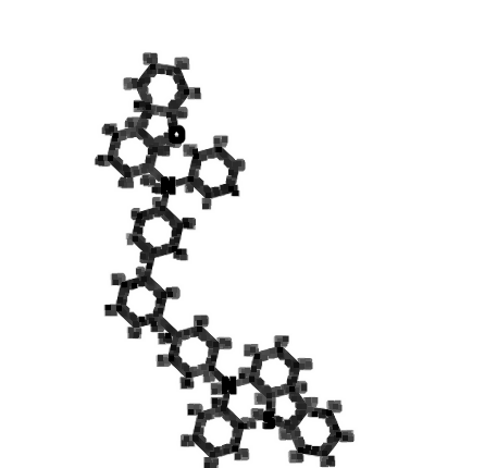 c1ccc(N(c2ccc(-c3cccc(-c4ccc(N(c5ccccc5)c5cccc6c5sc5ccccc56)cc4)c3)cc2)c2cccc3c2oc2ccccc23)cc1